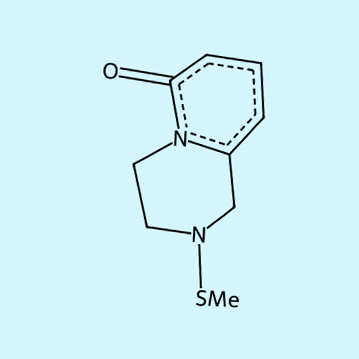 CSN1CCn2c(cccc2=O)C1